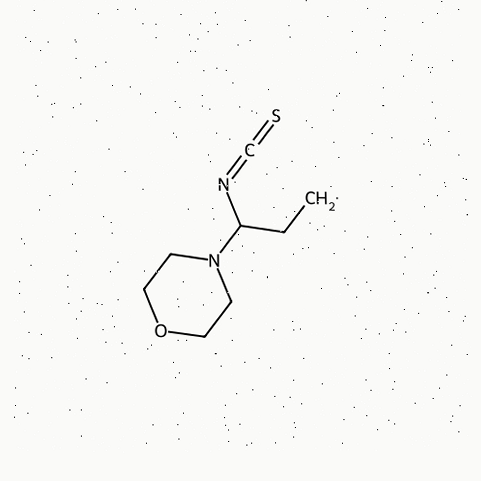 [CH2]CC(N=C=S)N1CCOCC1